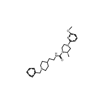 COc1cccc(N2CCN(C(=O)NCCC3CCN(Cc4ccccc4)CC3)[C@H](C)C2)n1